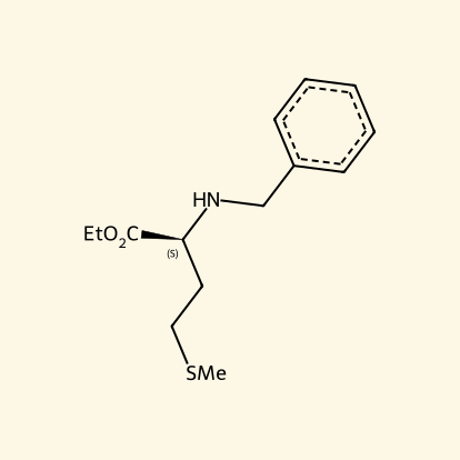 CCOC(=O)[C@H](CCSC)NCc1ccccc1